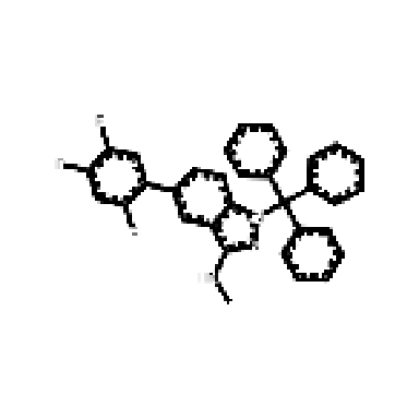 CNc1nn(C(c2ccccc2)(c2ccccc2)c2ccccc2)c2ccc(-c3cc(F)c(F)cc3F)cc12